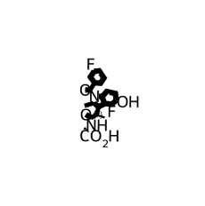 Cc1c([C@@H](C)C(=O)NCC(=O)O)c2c(F)c(O)ccc2n1C(=O)c1cccc(F)c1